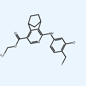 CCOC(=O)c1cnc(Nc2ccc(CI)c(Cl)c2)c2c1C1CCC2C1